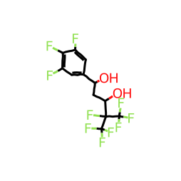 OC(CC(O)C(F)(C(F)(F)F)C(F)(F)F)c1cc(F)c(F)c(F)c1